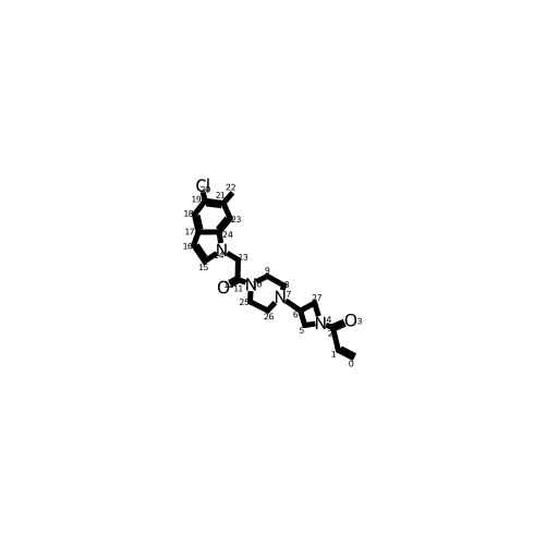 C=CC(=O)N1CC(N2CCN(C(=O)Cn3ccc4cc(Cl)c(C)cc43)CC2)C1